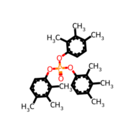 Cc1ccc(OP(=O)(Oc2ccc(C)c(C)c2C)Oc2ccc(C)c(C)c2C)c(C)c1C